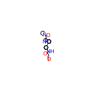 COCCC(=O)Nc1cccc(-c2cccc3c(C(=O)N4CCCCC4)cnn23)c1